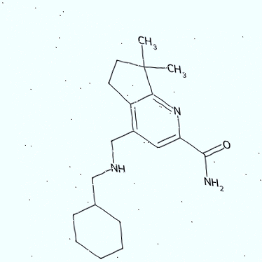 CC1(C)CCc2c(CNCC3CCCCC3)cc(C(N)=O)nc21